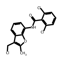 Cc1oc2c(NC(=O)c3c(Cl)cccc3Cl)cccc2c1CCl